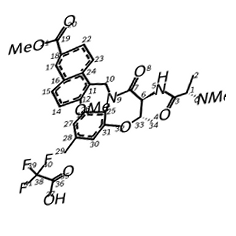 CN[C@@H](C)C(=O)N[C@@H]1C(=O)N(Cc2c(OC)ccc3cc(C(=O)OC)ccc23)c2ccc(C)cc2O[C@H]1C.O=C(O)C(F)(F)F